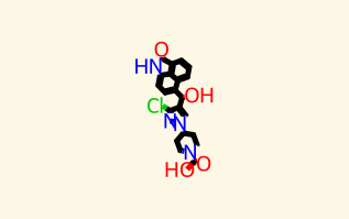 O=C1Nc2ccc(C(O)c3cn(C4CCN(C(=O)O)CC4)nc3Cl)c3cccc1c23